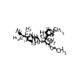 CCOC(=O)/C=C(/NCn1ccc(C(C)(C)C#N)n1)C(C)(C)c1ccn(C)n1